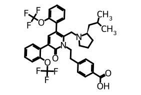 CC(C)C[C@H]1CCCN1Cc1c(-c2ccccc2OC(F)(F)F)cc(-c2ccccc2OC(F)(F)F)c(=O)n1CCc1ccc(C(=O)O)cc1